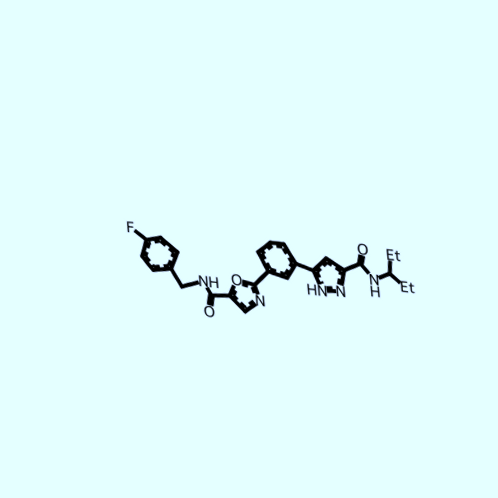 CCC(CC)NC(=O)c1cc(-c2cccc(-c3ncc(C(=O)NCc4ccc(F)cc4)o3)c2)[nH]n1